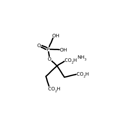 N.O=C(O)CC(CC(=O)O)(OP(=O)(O)O)C(=O)O